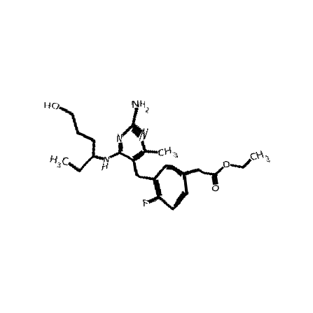 CCOC(=O)Cc1ccc(F)c(Cc2c(C)nc(N)nc2NC(CC)CCCO)c1